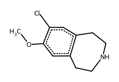 COc1cc2c(cc1Cl)CCNCC2